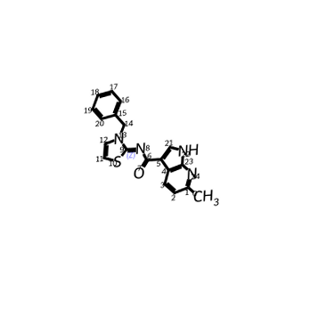 Cc1ccc2c(C(=O)/N=c3\sccn3Cc3ccccc3)c[nH]c2n1